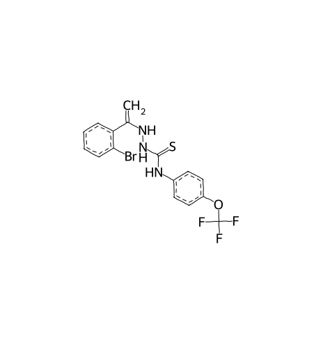 C=C(NNC(=S)Nc1ccc(OC(F)(F)F)cc1)c1ccccc1Br